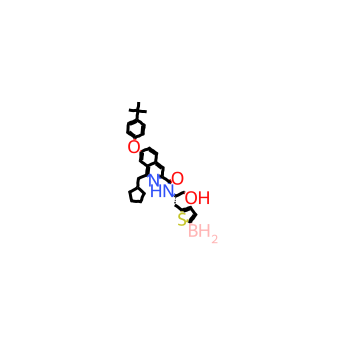 Bc1ccc(C[C@@H](CO)NC(=O)c2cc3ccc(Oc4ccc(C(C)(C)C)cc4)cc3c(CC3CCCC3)n2)s1